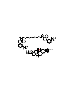 C#C[C@]1(O)CC[C@H]2[C@@H]3CCC4=CC(=O)CC[C@@H]4[C@H]3C(=C)C[C@@]21CC.CN(CCCCCCCCCCN(C)C(=O)Oc1cccc([N+](C)(C)C)c1)C(=O)Oc1cccc([N+](C)(C)C)c1.[Br-].[Br-]